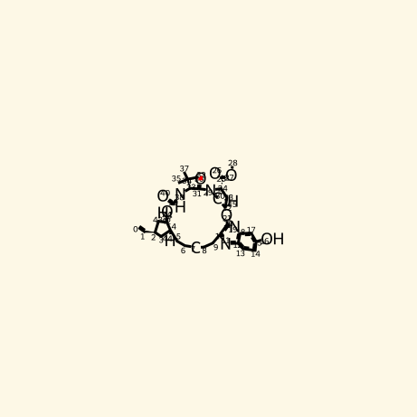 C=C[C@@H]1C[C@H]2CCCCCc3nc4ccc(O)cc4nc3O[C@@H]3C[C@@H](C(=O)OC)N(C3)C(=O)[C@H](C(C)(C)C)NC(=O)O[C@@H]2C1